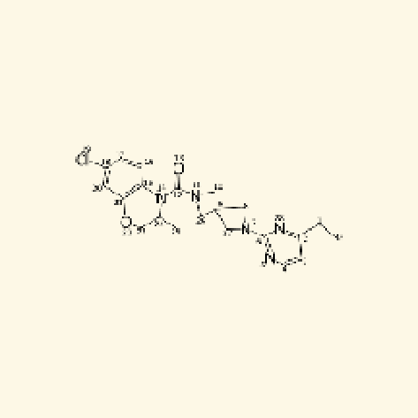 CCc1ccnc(N2CC3(CN(C(=O)N4c5ccc(Cl)cc5OCC4C)C3)C2)n1